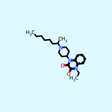 CCCCCCC(C)N1CCC(n2c(=O)c(=O)n(CC)c3ccccc32)CC1